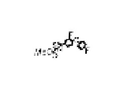 COC(=O)c1nc(-c2ccc(Oc3ccc(F)cc3)c(F)c2)cs1